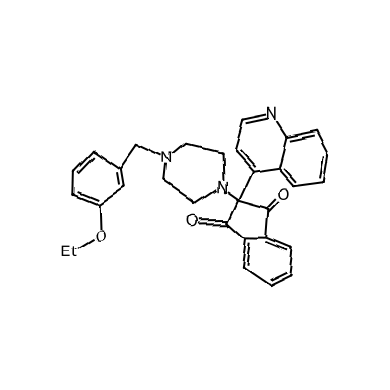 CCOc1cccc(CN2CCN(C3(c4ccnc5ccccc45)C(=O)c4ccccc4C3=O)CC2)c1